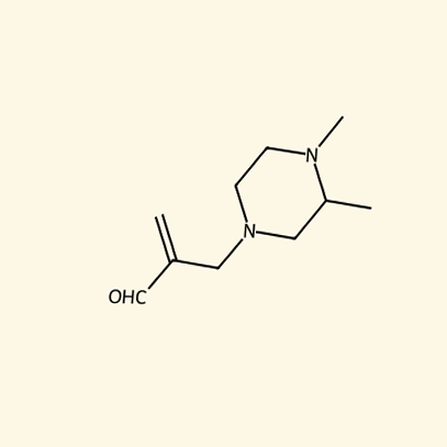 C=C(C=O)CN1CCN(C)C(C)C1